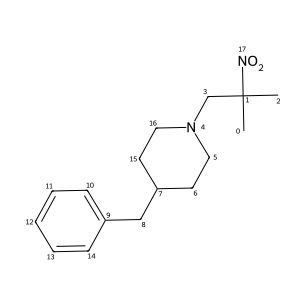 CC(C)(CN1CCC(Cc2ccccc2)CC1)[N+](=O)[O-]